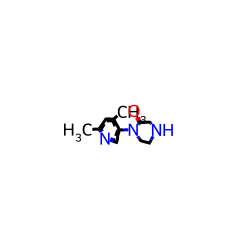 Cc1cc(C)c(N2CCNCC2=O)cn1